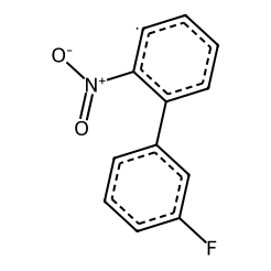 O=[N+]([O-])c1[c]cccc1-c1cccc(F)c1